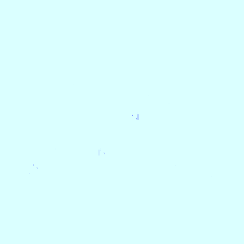 CCOC(=O)c1ccc(Nc2c(NCc3ccccc3)cc(C(=O)OCC)cc2S(N)(=O)=O)cc1